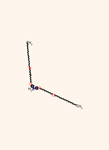 CCCCCCCCCCCCCCCCCCCCCCOCCCCCCCCCCCCOc1ccc([N+](C)c2ccc(OCCCCCCCCCCCCOCCCCCCCCCCCCCCCCCCCCCC)cc2)cc1